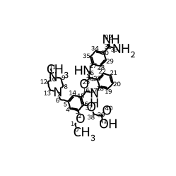 CCOc1cc(CN2CCN(C)CC2)cc(CNc2ccccc2C(=O)Nc2ccc(C(=N)N)cc2)c1OCC(=O)O